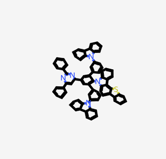 c1ccc(-c2cc(-c3cc(-c4cccc(-n5c6ccccc6c6ccccc65)c4)c(-n4c5ccccc5c5c6sc7ccccc7c6ccc54)c(-c4cccc(-n5c6ccccc6c6ccccc65)c4)c3)nc(-c3ccccc3)n2)cc1